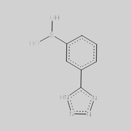 OB(O)c1cccc(-c2nnn[nH]2)c1